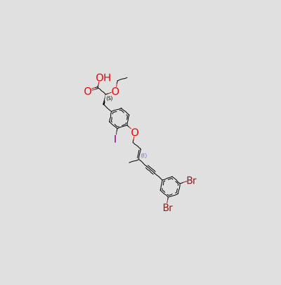 CCO[C@@H](Cc1ccc(OC/C=C(\C)C#Cc2cc(Br)cc(Br)c2)c(I)c1)C(=O)O